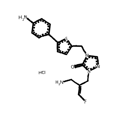 Cl.NC/C(=C/F)Cn1ncn(Cc2ccc(-c3ccc(N)cc3)s2)c1=O